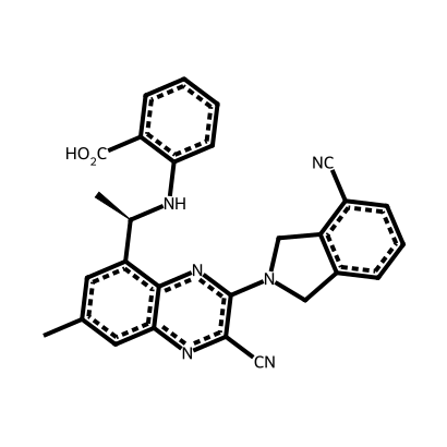 Cc1cc([C@@H](C)Nc2ccccc2C(=O)O)c2nc(N3Cc4cccc(C#N)c4C3)c(C#N)nc2c1